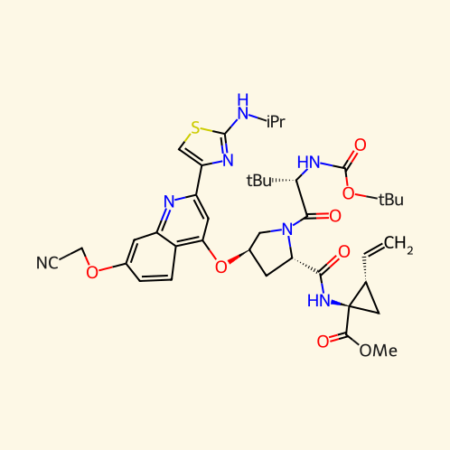 C=C[C@@H]1C[C@]1(NC(=O)[C@@H]1C[C@@H](Oc2cc(-c3csc(NC(C)C)n3)nc3cc(OCC#N)ccc23)CN1C(=O)[C@@H](NC(=O)OC(C)(C)C)C(C)(C)C)C(=O)OC